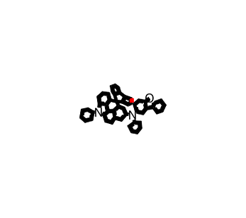 c1ccc(N(c2cc3c4c(ccc5c4c4c(cccc4n5-c4ccccc4)C34c3ccccc3-c3ccccc34)c2)c2ccc3oc4ccccc4c3c2)cc1